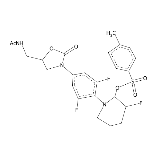 CC(=O)NCC1CN(c2cc(F)c(N3CCCC(F)C3OS(=O)(=O)c3ccc(C)cc3)c(F)c2)C(=O)O1